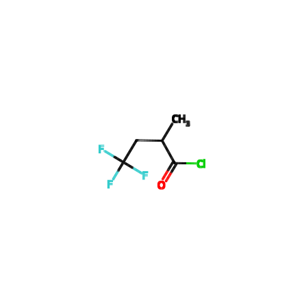 CC(CC(F)(F)F)C(=O)Cl